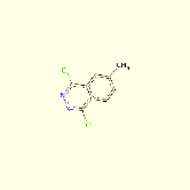 Cc1ccc2c(Cl)nnc(Cl)c2c1